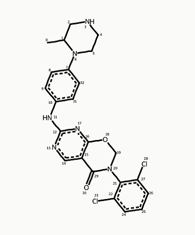 CC1CNCCN1c1ccc(Nc2ncc3c(n2)OCN(c2c(Cl)cccc2Cl)C3=O)cc1